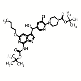 CCCCOc1cc2c(C(O)c3cnc(N4CCN(C(=O)OC(C)(C)C)CC4)c(Cl)c3)cnn2c(NC(=O)OC(C)(C)C)n1